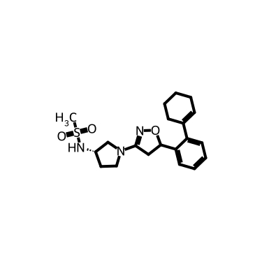 CS(=O)(=O)N[C@H]1CCN(C2=NOC(c3ccccc3C3=CCCCC3)C2)C1